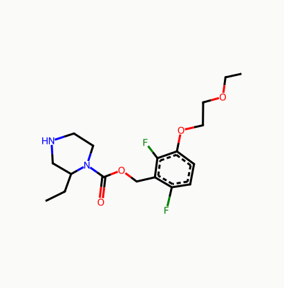 CCOCCOc1ccc(F)c(COC(=O)N2CCNCC2CC)c1F